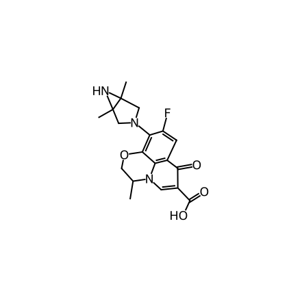 CC1COc2c(N3CC4(C)NC4(C)C3)c(F)cc3c(=O)c(C(=O)O)cn1c23